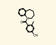 Cc1cc(C#N)ccc1C(=O)N1CCCCc2ccccc21